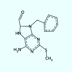 CSc1nc(N)c2c(n1)N(Cc1ccccc1)C(C=O)N2